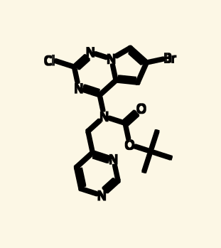 CC(C)(C)OC(=O)N(Cc1ccncn1)c1nc(Cl)nn2cc(Br)cc12